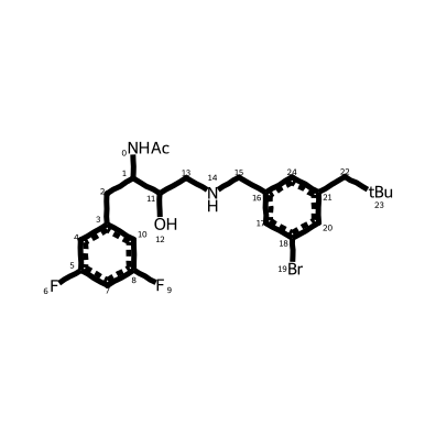 CC(=O)NC(Cc1cc(F)cc(F)c1)C(O)CNCc1cc(Br)cc(CC(C)(C)C)c1